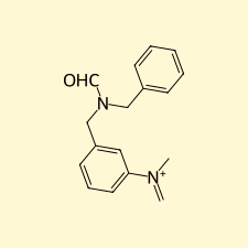 C=[N+](C)c1cccc(CN(C=O)Cc2ccccc2)c1